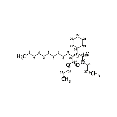 CCCCCCCCCC/C(C(=O)OCCC)=C(/C(=O)OCCC)C1CCCCC1